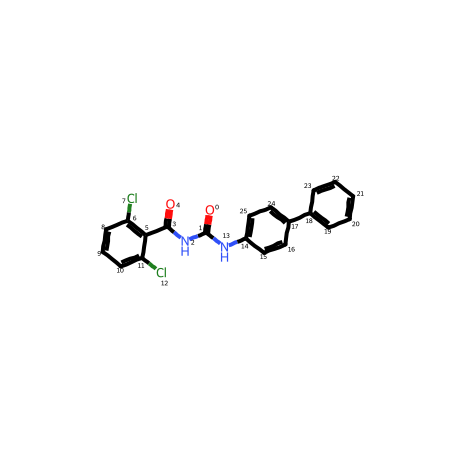 O=C(NC(=O)c1c(Cl)cccc1Cl)Nc1ccc(-c2ccccc2)cc1